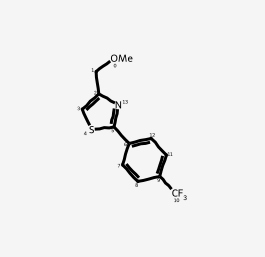 COCc1csc(-c2ccc(C(F)(F)F)cc2)n1